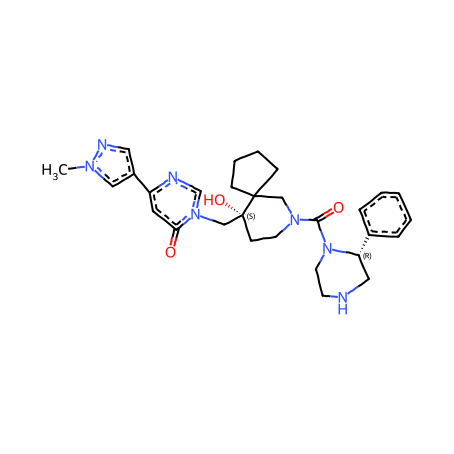 Cn1cc(-c2cc(=O)n(C[C@]3(O)CCN(C(=O)N4CCNC[C@H]4c4ccccc4)CC34CCCC4)cn2)cn1